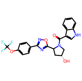 O=C(c1c[nH]c2ccccc12)N1C[C@H](O)CC1c1nc(-c2ccc(OC(F)(F)F)cc2)no1